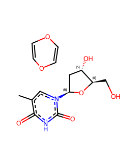 C1=COC=CO1.Cc1cn([C@H]2C[C@H](O)[C@@H](CO)O2)c(=O)[nH]c1=O